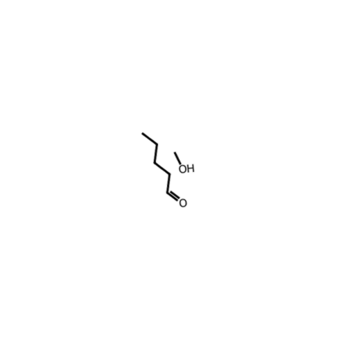 CCCCC=O.CO